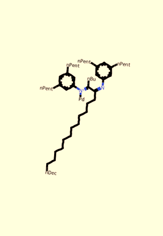 CCCCCCCCCCCCCCCCCCCCCCC(=Nc1cc(CCCCC)cc(CCCCC)c1)C(CCCC)=[N+]([Pd])c1cc(CCCCC)cc(CCCCC)c1